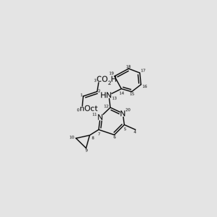 CCCCCCCC/C=C/C(=O)O.Cc1cc(C2CC2)nc(Nc2ccccc2)n1